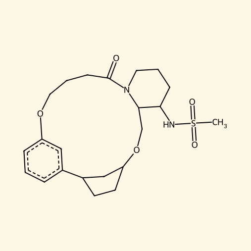 CS(=O)(=O)NC1CCCN2C(=O)CCCOc3cccc(c3)C3CCC(C3)OCC12